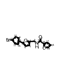 O=C(NCc1ccc(-c2ccc(Br)cc2)o1)c1ccco1